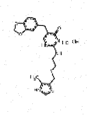 Cc1[nH]cnc1CSCCNc1nc(=O)c(Cc2ccc3c(c2)OCO3)c[nH]1.Cl.Cl